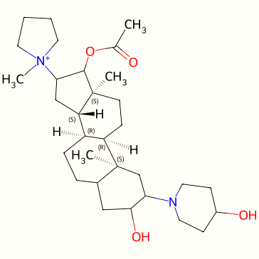 CC(=O)OC1C([N+]2(C)CCCC2)C[C@H]2[C@@H]3CCC4CC(O)C(N5CCC(O)CC5)C[C@]4(C)[C@@H]3CC[C@]12C